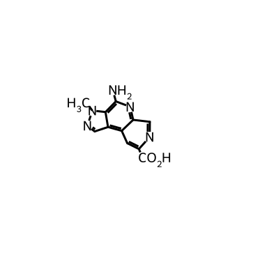 Cn1ncc2c3cc(C(=O)O)ncc3nc(N)c21